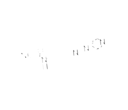 N#CCC(=O)N[C@H]1CC[C@H](CCN2CCN(c3ccncc3)CC2)CC1